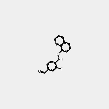 O=Cc1ccc(NOc2cccc3cccnc23)c(F)c1